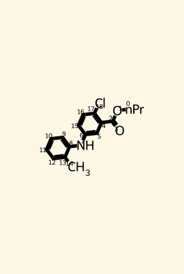 CCCOC(=O)c1cc(Nc2ccccc2C)ccc1Cl